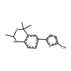 CC1Nc2ccc(-c3ccc(C#N)s3)cc2C(C)(C)O1